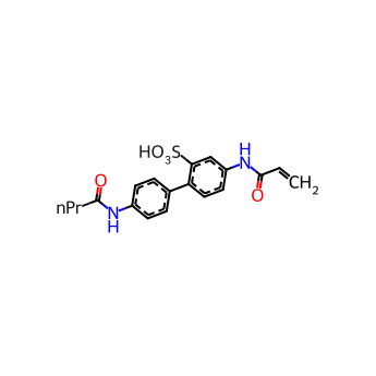 C=CC(=O)Nc1ccc(-c2ccc(NC(=O)CCC)cc2)c(S(=O)(=O)O)c1